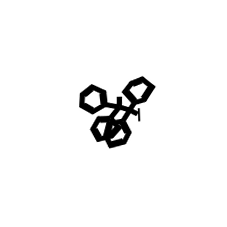 CC(c1ccccc1)(c1ccccc1)C(I)(c1ccccc1)c1ccccc1